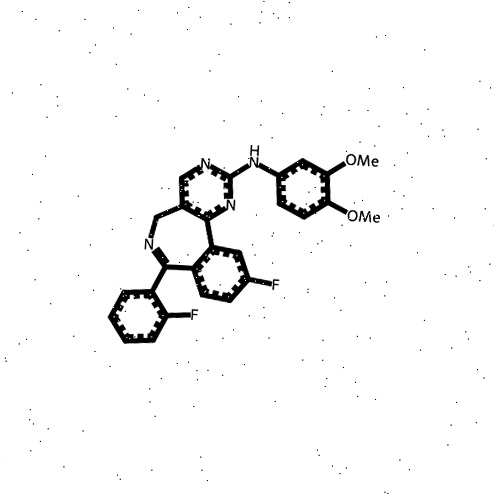 COc1ccc(Nc2ncc3c(n2)-c2cc(F)ccc2C(c2ccccc2F)=NC3)cc1OC